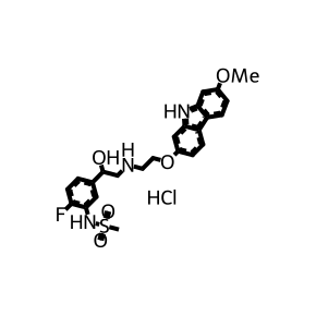 COc1ccc2c(c1)[nH]c1cc(OCCNCC(O)c3ccc(F)c(NS(C)(=O)=O)c3)ccc12.Cl